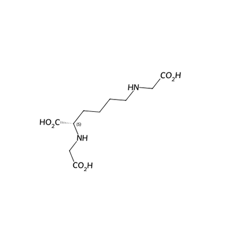 O=C(O)CNCCCC[C@H](NCC(=O)O)C(=O)O